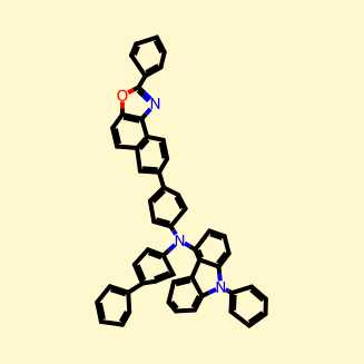 c1ccc(-c2ccc(N(c3ccc(-c4ccc5c(ccc6oc(-c7ccccc7)nc65)c4)cc3)c3cccc4c3c3ccccc3n4-c3ccccc3)cc2)cc1